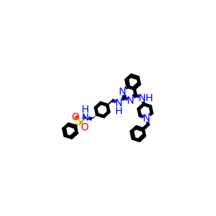 O=S(=O)(NC[C@H]1CC[C@H](CNc2nc(NC3CCN(Cc4ccccc4)CC3)c3ccccc3n2)CC1)c1ccccc1